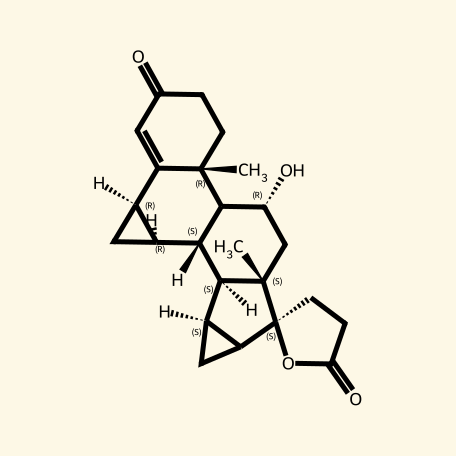 C[C@]12CCC(=O)C=C1[C@@H]1C[C@@H]1[C@@H]1C2[C@H](O)C[C@@]2(C)[C@H]1[C@@H]1CC1[C@@]21CCC(=O)O1